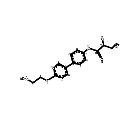 CCCCCCCCCCCCSc1ncc(-c2ccc(OC(=O)[C@@H](Cl)CC(C)C)cc2)cn1